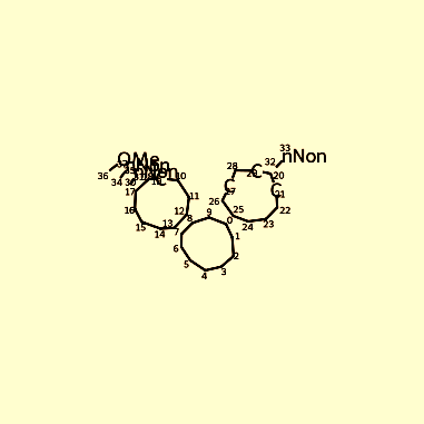 C1CCCCCCCCC1.C1CCCCCCCCC1.C1CCCCCCCCC1.CCCCCCCCCC.CCCCCCCCCC.CCCCCCCCCC.COC